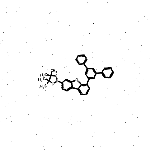 CC1(C)OB(c2ccc3c(c2)oc2c(-c4cc(-c5ccccc5)cc(-c5ccccc5)c4)cccc23)OC1(C)C